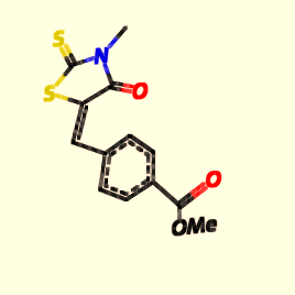 COC(=O)c1ccc(C=C2SC(=S)N(C)C2=O)cc1